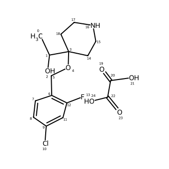 CC(O)C1(OCc2ccc(Cl)cc2F)CCNCC1.O=C(O)C(=O)O